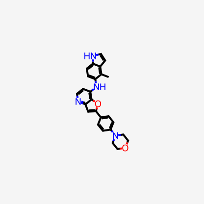 Cc1c(Nc2ccnc3cc(-c4ccc(N5CCOCC5)cc4)oc23)ccc2[nH]ccc12